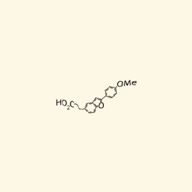 COc1ccc(-c2cc3cc(CCC(=O)O)ccc3o2)cc1